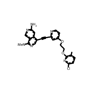 CNc1ncc(C#Cc2cc(OCCOc3nc(Cl)ccc3C)ccn2)c2cc(N)ncc12